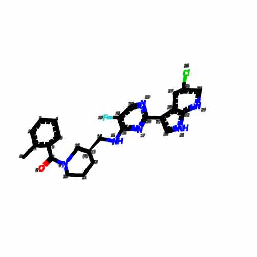 Cc1ccccc1C(=O)N1CCC[C@H](CNc2nc(-c3c[nH]c4ncc(Cl)cc34)ncc2F)C1